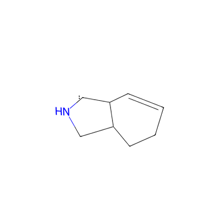 [C]1NCC2CCC=CC12